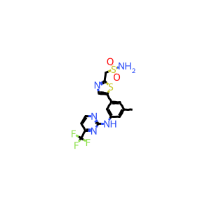 Cc1cc(Nc2nccc(C(F)(F)F)n2)cc(-c2cnc(CS(N)(=O)=O)s2)c1